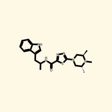 CC(Cc1c[nH]c2ccccc12)NC(=O)c1nnc(N2C[C@@H](C)N(C)[C@H](C)C2)s1